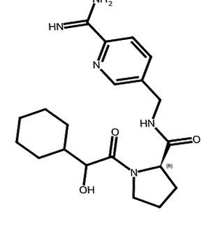 N=C(N)c1ccc(CNC(=O)[C@H]2CCCN2C(=O)C(O)C2CCCCC2)cn1